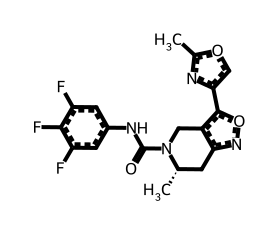 Cc1nc(-c2onc3c2CN(C(=O)Nc2cc(F)c(F)c(F)c2)[C@@H](C)C3)co1